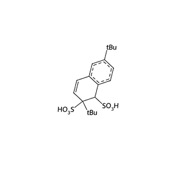 CC(C)(C)c1ccc2c(c1)C=CC(C(C)(C)C)(S(=O)(=O)O)C2S(=O)(=O)O